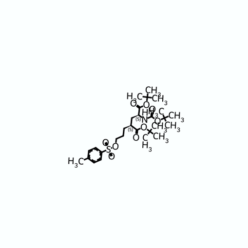 Cc1ccc(S(=O)(=O)OCCC[C@@H](C[C@H](NC(=O)OC(C)(C)C)C(=O)OC(C)(C)C)C(=O)OC(C)(C)C)cc1